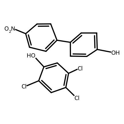 O=[N+]([O-])c1ccc(-c2ccc(O)cc2)cc1.Oc1cc(Cl)c(Cl)cc1Cl